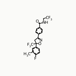 Cc1cc(C2(C(F)(F)F)CC(c3ccc(C(=O)NCC(F)(F)F)cc3)=NO2)ccc1F